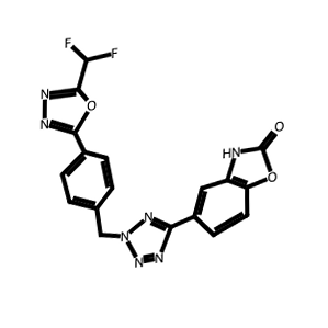 O=c1[nH]c2cc(-c3nnn(Cc4ccc(-c5nnc(C(F)F)o5)cc4)n3)ccc2o1